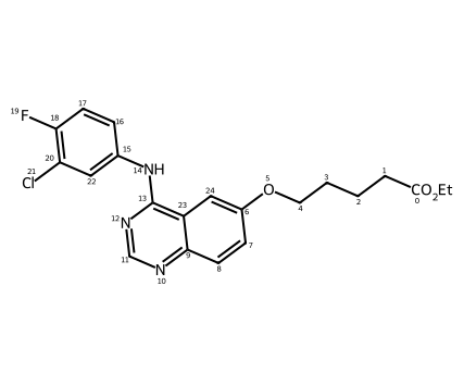 CCOC(=O)CCCCOc1ccc2ncnc(Nc3ccc(F)c(Cl)c3)c2c1